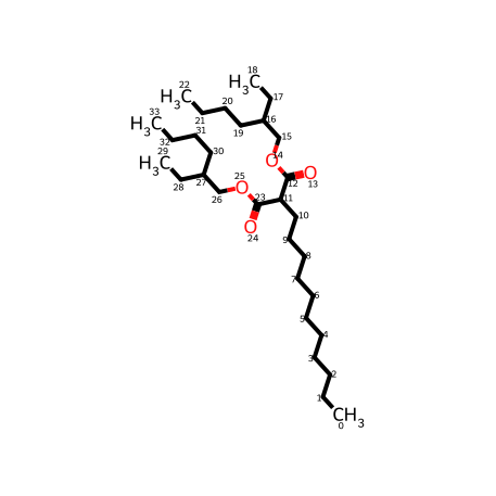 CCCCCCCCCCCC(C(=O)OCC(CC)CCCC)C(=O)OCC(CC)CCCC